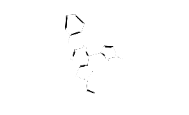 Cn1ccc(-c2nc(Cc3ccccc3)nc3c2CN(C(=O)O)C3)n1